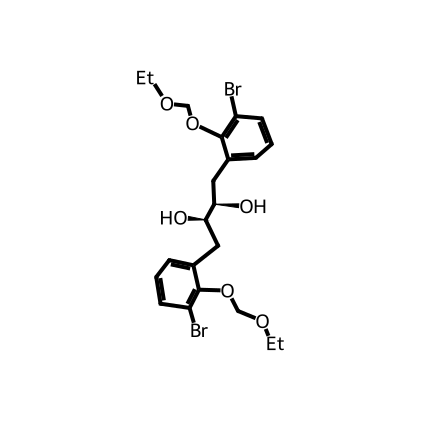 CCOCOc1c(Br)cccc1C[C@@H](O)[C@H](O)Cc1cccc(Br)c1OCOCC